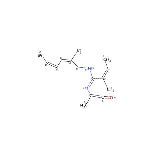 C/C=C(C)\C(=N/C(C)=C=O)NC/C(=C\C=C/C(C)C)CC